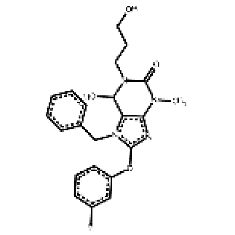 CN1C(=O)N(CCCO)C(O)c2c1nc(Oc1cccc(F)c1)n2Cc1ccccc1